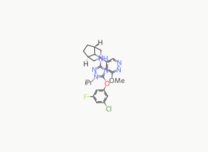 COc1cc(N2C[C@H]3CC[C@H](C2)C3Nc2nc(Oc3cc(F)cc(Cl)c3)n(C(C)C)n2)cnn1